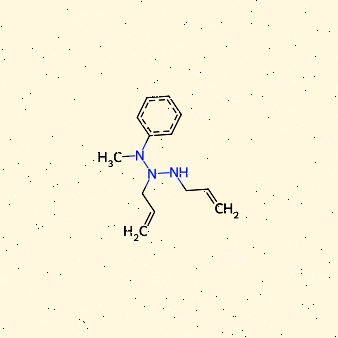 C=CCNN(CC=C)N(C)c1ccccc1